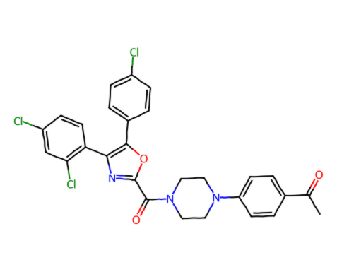 CC(=O)c1ccc(N2CCN(C(=O)c3nc(-c4ccc(Cl)cc4Cl)c(-c4ccc(Cl)cc4)o3)CC2)cc1